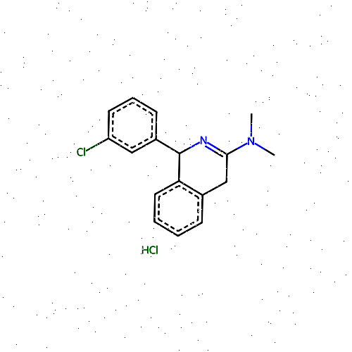 CN(C)C1=NC(c2cccc(Cl)c2)c2ccccc2C1.Cl